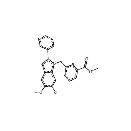 COC(=O)c1cccc(Cn2c(-c3cccnc3)cc3cc(OC)c(Cl)cc32)n1